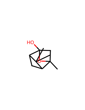 CC12CC(O)(O1)C1CC2C1(C)C